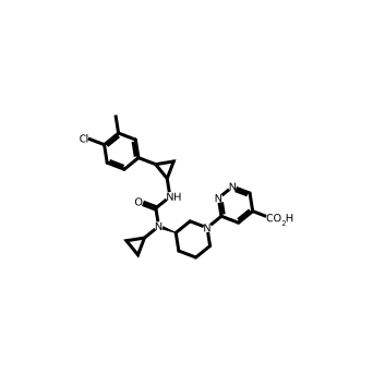 Cc1cc(C2CC2NC(=O)N(C2CC2)[C@@H]2CCCN(c3cc(C(=O)O)cnn3)C2)ccc1Cl